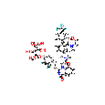 O=C(Cn1c(CCc2cccc(F)c2F)nc(=O)c2ccccc21)N(CCCN1CCOCC1)Cc1ccc(-c2ccc(C(F)(F)F)cc2)cc1.O=C(O)C(O)C(O)C(=O)O